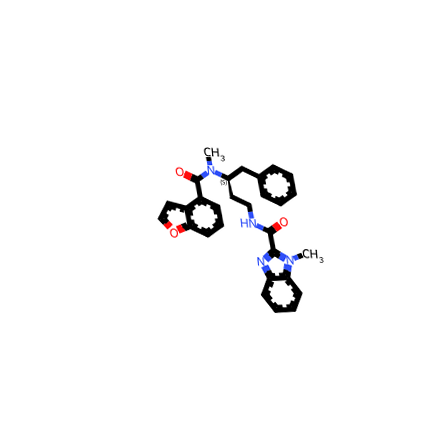 CN(C(=O)c1cccc2occc12)[C@H](CCNC(=O)c1nc2ccccc2n1C)Cc1ccccc1